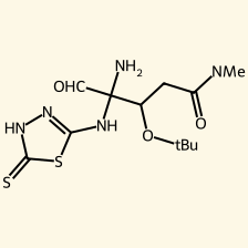 CNC(=O)CC(OC(C)(C)C)C(N)(C=O)Nc1n[nH]c(=S)s1